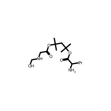 CC(C)C(N)C(=O)OC(C)(C)CC(C)(C)OC(=O)CNCO